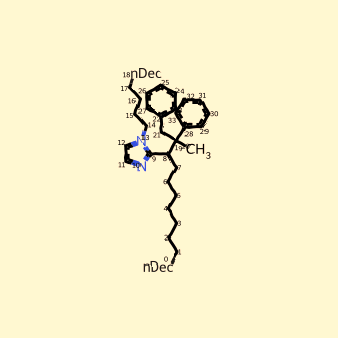 CCCCCCCCCCCCCCCCCC(c1nccn1CCCCCCCCCCCCCC)C(C)(Cc1ccccc1)c1ccccc1